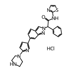 Cl.O=C(Nc1nccs1)C(c1ccccc1)n1cc2ccc(-c3ccc(N4CCNCC4)nc3)cc2n1